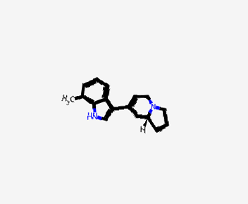 Cc1cccc2c(C3=CCN4CCC[C@@H]4C3)c[nH]c12